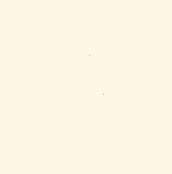 Cc1ccccc1-n1c2ccccc2c2cc(N(c3ccccc3)c3ccc4c(c3)C3(c5ccccc5-c5ccccc53)c3ccccc3-4)ccc21